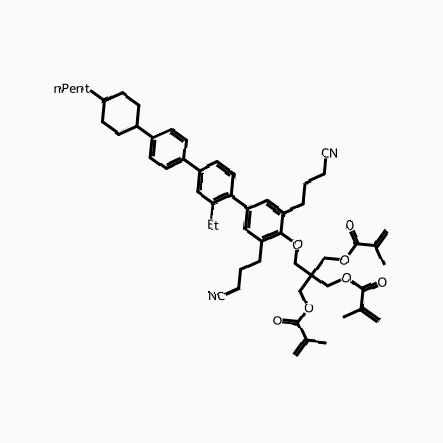 C=C(C)C(=O)OCC(COC(=O)C(=C)C)(COC(=O)C(=C)C)COc1c(CCCC#N)cc(-c2ccc(-c3ccc(C4CCC(CCCCC)CC4)cc3)cc2CC)cc1CCCC#N